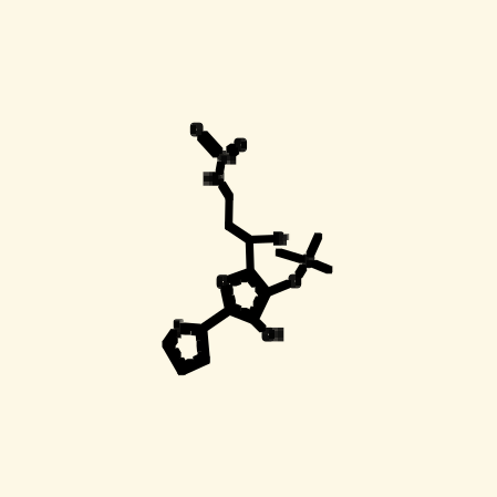 C[Si](C)(C)Oc1c(C(Br)CCN[SH](=O)=O)oc(-c2cccs2)c1O